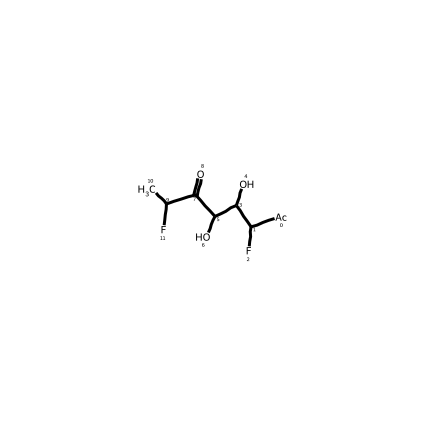 CC(=O)C(F)C(O)C(O)C(=O)C(C)F